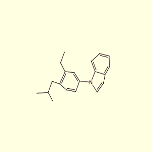 CCc1cc(-n2ccc3ccccc32)ccc1CC(C)C